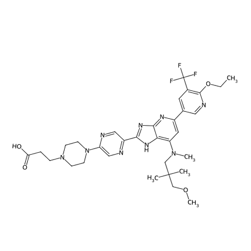 CCOc1ncc(-c2cc(N(C)CC(C)(C)COC)c3[nH]c(-c4cnc(N5CCN(CCC(=O)O)CC5)cn4)nc3n2)cc1C(F)(F)F